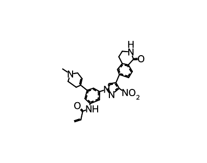 C=CC(=O)Nc1cc(C2=CCN(C)CC2)cc(-n2cc(-c3ccc4c(c3)CCNC4=O)c([N+](=O)[O-])n2)c1